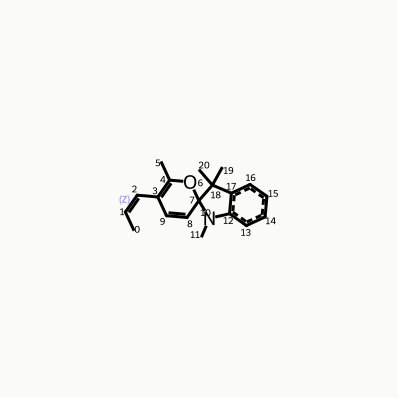 C/C=C\C1=C(C)OC2(C=C1)N(C)c1ccccc1C2(C)C